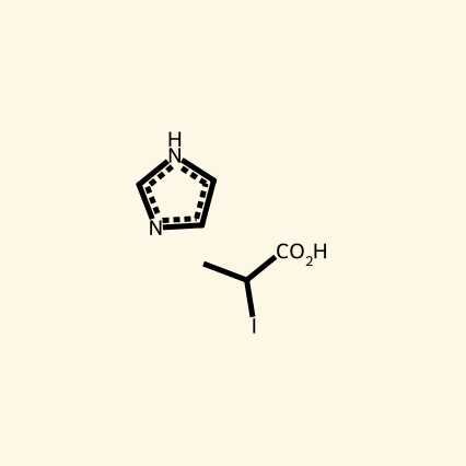 CC(I)C(=O)O.c1c[nH]cn1